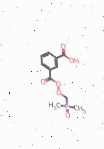 CP(C)(=O)COOC(=O)c1cccc(C(=O)O)c1